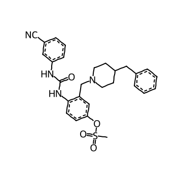 CS(=O)(=O)Oc1ccc(NC(=O)Nc2cccc(C#N)c2)c(CN2CCC(Cc3ccccc3)CC2)c1